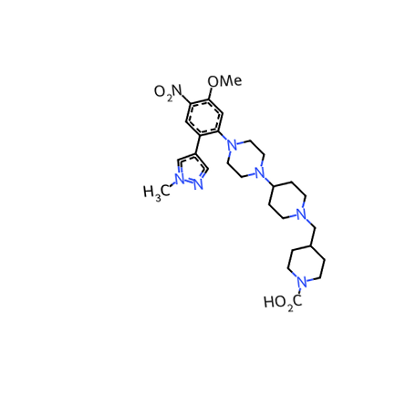 COc1cc(N2CCN(C3CCN(CC4CCN(C(=O)O)CC4)CC3)CC2)c(-c2cnn(C)c2)cc1[N+](=O)[O-]